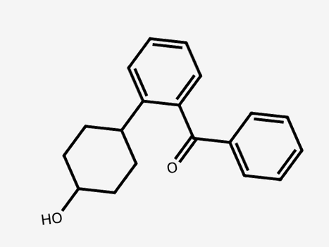 O=C(c1ccccc1)c1ccccc1C1CCC(O)CC1